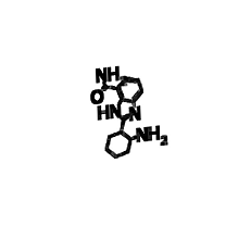 NC(=O)c1cccc2nc([C@@H]3CCCC[C@@H]3N)[nH]c12